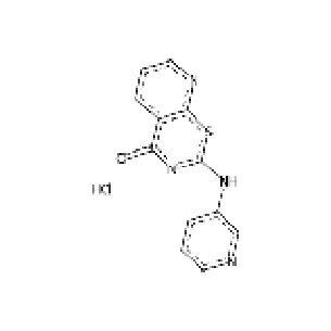 Cl.O=c1nc(Nc2cccnc2)sc2ncccc12